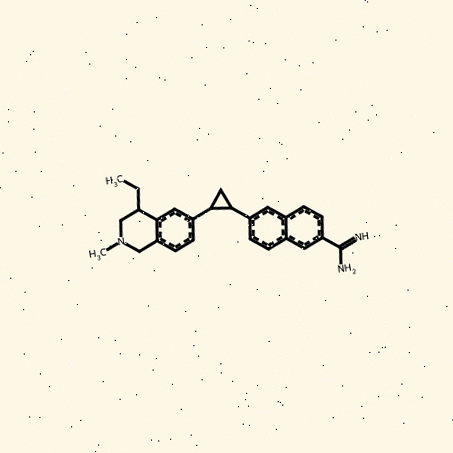 CCC1CN(C)Cc2ccc(C3CC3c3ccc4cc(C(=N)N)ccc4c3)cc21